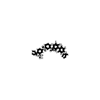 CCC(C)(CC)Oc1c(F)c(F)c(-c2c(F)c(F)c(Oc3ccc(S(=O)(=O)c4ccc(C(C)(CC)CC)c(S(=O)(=O)O)c4)cc3S(=O)(=O)O)c(F)c2F)c(F)c1F